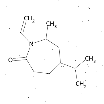 C=CN1C(=O)CCC(C(C)C)CC1C